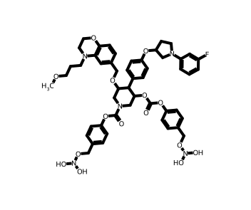 COCCCN1CCOc2ccc(COC3CN(C(=O)Oc4ccc(CON(O)O)cc4)CC(OC(=O)Oc4ccc(CON(O)O)cc4)C3c3ccc(OC4CCN(c5cccc(F)c5)C4)cc3)cc21